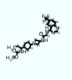 CCC(NC(=O)OC)C1CCC(N2CC(NC(=O)CNc3ncnc4ccc(C(F)(F)F)cc34)C2)CC1